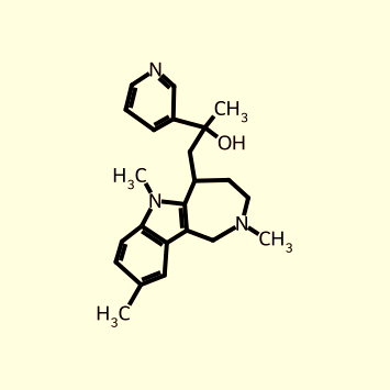 Cc1ccc2c(c1)c1c(n2C)C(CC(C)(O)c2cccnc2)CCN(C)C1